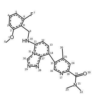 COc1cccc(F)c1CNc1ccc(-c2cnc(C(=O)N(C)C)cc2C)c2nncn12